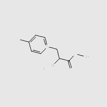 CC(C)(C)OC(=O)C(N)C[n+]1ccc(Cl)cc1.[Cl-]